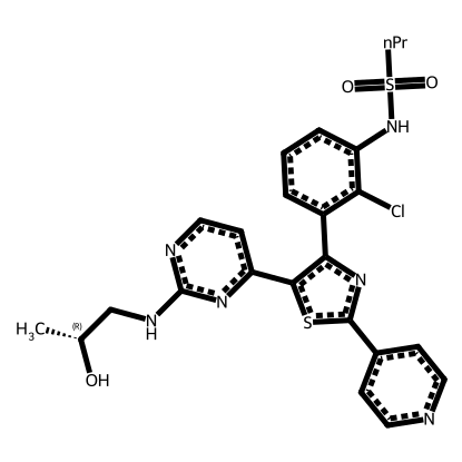 CCCS(=O)(=O)Nc1cccc(-c2nc(-c3ccncc3)sc2-c2ccnc(NC[C@@H](C)O)n2)c1Cl